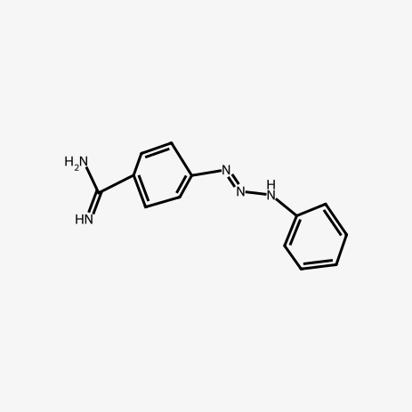 N=C(N)c1ccc(/N=N/Nc2ccccc2)cc1